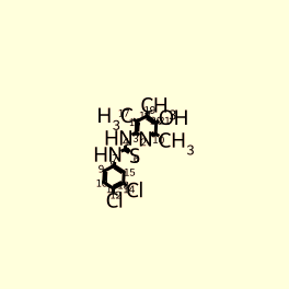 Cc1nc(NC(=S)Nc2ccc(Cl)c(Cl)c2)c(C)c(C)c1O